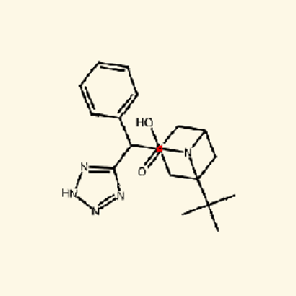 CC(C)(C)C12CC(CN(C(c3ccccc3)c3nn[nH]n3)C1)N2C(=O)O